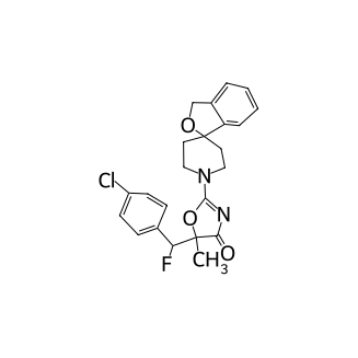 CC1(C(F)c2ccc(Cl)cc2)OC(N2CCC3(CC2)OCc2ccccc23)=NC1=O